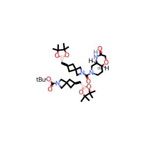 CC(C)(C)OC(=O)N1CC2(CC(=CB3OC(C)(C)C(C)(C)O3)C2)C1.CC1(C)OB(C=C2CC3(C2)CN(C(=O)N2CC[C@@H]4OCC(=O)N[C@@H]4C2)C3)OC1(C)C